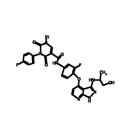 CCn1cc(C(=O)Nc2ccc(Oc3ccnc4[nH]nc(NC(C)CO)c34)c(F)c2)c(=O)n(-c2ccc(F)cc2)c1=O